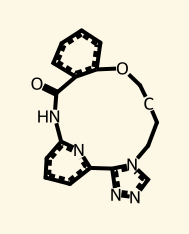 O=C1Nc2cccc(n2)-c2nncn2CCCCOc2ccccc21